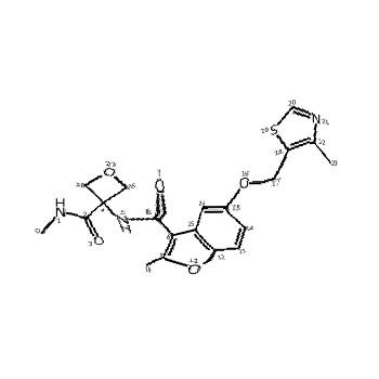 CNC(=O)C1(NC(=O)c2c(C)oc3ccc(OCc4scnc4C)cc23)COC1